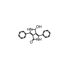 O=C1NC(c2ccccc2)=C2C1=C(c1ccccc1)NC2O